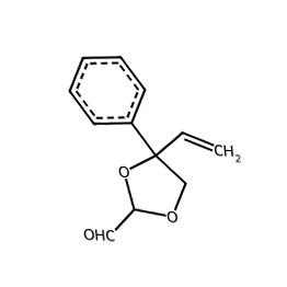 C=CC1(c2ccccc2)COC(C=O)O1